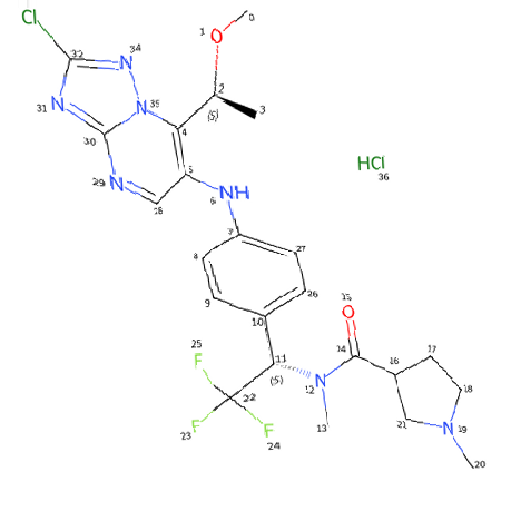 CO[C@@H](C)c1c(Nc2ccc([C@H](N(C)C(=O)C3CCN(C)C3)C(F)(F)F)cc2)cnc2nc(Cl)nn12.Cl